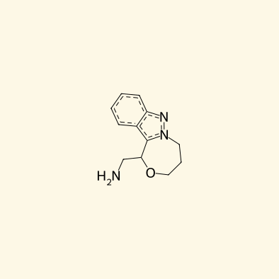 NCC1OCCCn2nc3ccccc3c21